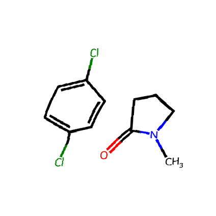 CN1CCCC1=O.Clc1ccc(Cl)cc1